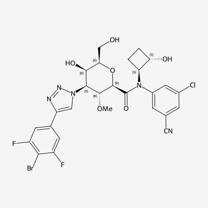 CO[C@@H]1[C@@H](n2cc(-c3cc(F)c(Br)c(F)c3)nn2)[C@@H](O)[C@@H](CO)O[C@H]1C(=O)N(c1cc(Cl)cc(C#N)c1)[C@H]1CC[C@@H]1O